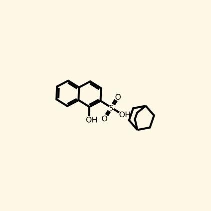 C1CC2CCC1CC2.O=S(=O)(O)c1ccc2ccccc2c1O